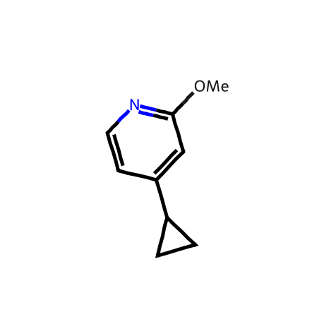 COc1cc(C2CC2)ccn1